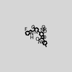 CNC(=O)c1c(-c2ccc(C)cc2)oc2cc(N(C)S(C)(=O)=O)c(-c3ccc(OC)c(-c4cc5c(F)cccc5[nH]4)n3)cc12